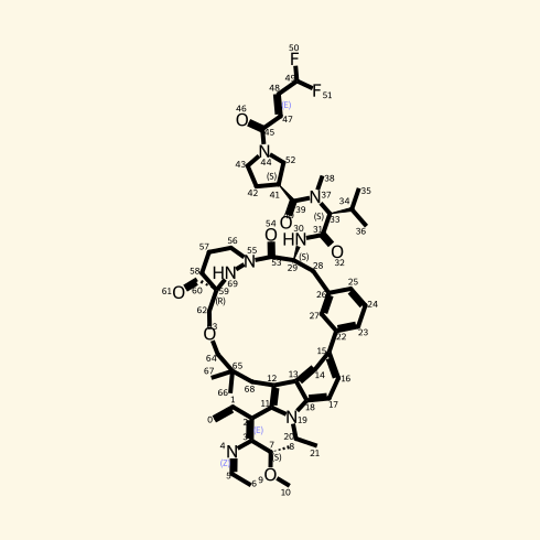 C=C/C(=C(\N=C/C)[C@H](C)OC)c1c2c3cc(ccc3n1CC)-c1cccc(c1)C[C@H](NC(=O)[C@H](C(C)C)N(C)C(=O)[C@H]1CCN(C(=O)/C=C/C(F)F)C1)C(=O)N1CCC[C@](C=O)(COCC(C)(C)C2)N1